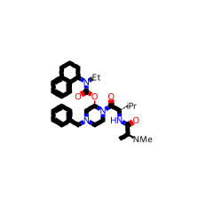 CCN(C(=O)O[C@H]1CN(Cc2ccccc2)CCN1C(=O)[C@@H](NC(=O)[C@H](C)NC)C(C)C)C1CCCc2ccccc21